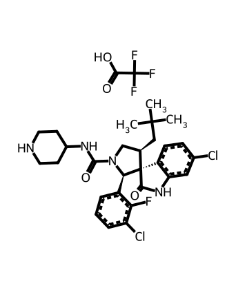 CC(C)(C)C[C@@H]1CN(C(=O)NC2CCNCC2)[C@H](c2cccc(Cl)c2F)[C@]12C(=O)Nc1cc(Cl)ccc12.O=C(O)C(F)(F)F